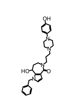 O=C1c2ccn(Cc3ccccc3)c2C(O)CCN1CCCN1CCN(c2ccc(O)cc2)CC1